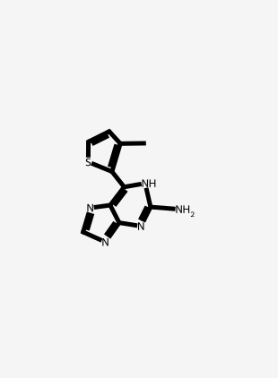 Cc1ccsc1-c1[nH]c(N)nc2ncnc1-2